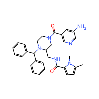 Cc1ccc(C(=O)NCC2CN(C(=O)c3cncc(N)c3)CCN2C(c2ccccc2)c2ccccc2)n1C